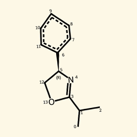 CC(C)C1=N[C@H](c2ccccc2)CO1